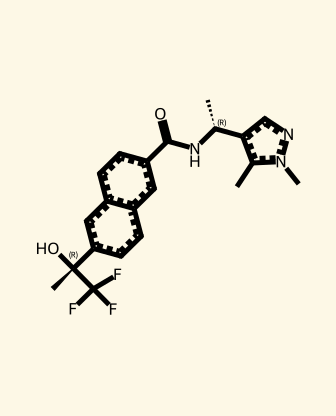 Cc1c([C@@H](C)NC(=O)c2ccc3cc([C@@](C)(O)C(F)(F)F)ccc3c2)cnn1C